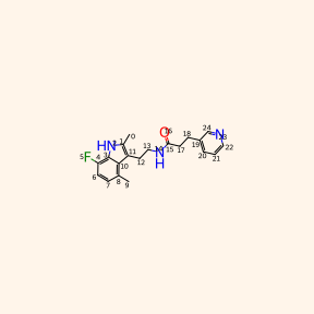 Cc1[nH]c2c(F)ccc(C)c2c1CCNC(=O)CCc1cccnc1